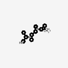 CC1(C)C2=CC=C(N3c4ccccc4C4C=C(C5=CCC6C(C5)C5CCCCC5N6C5=CC(C6C=CC=CC6)=CC(C6=CCNC=C6)C5)C=CC43)CC2C2=C1CCC=C2